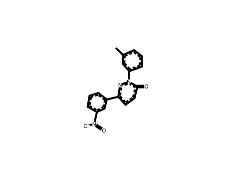 Cc1cccc(-n2nc(-c3cccc([N+](=O)[O-])c3)ccc2=O)c1